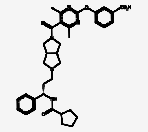 Cc1nc(Oc2cccc(C(=O)O)c2)nc(C)c1C(=O)N1CC2CN(CC[C@H](NC(=O)C3CCCC3)c3ccccc3)CC2C1